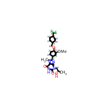 COc1cc(-c2nc3c(c(=O)[nH]c(=O)n3CC(C)O)n2C)ccc1OCc1ccc(C(F)F)cc1